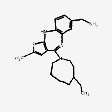 CCC1CCCCN(C2=Nc3cc(CN)ccc3Nc3sc(C)cc32)CC1